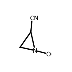 N#CC1CN1[O]